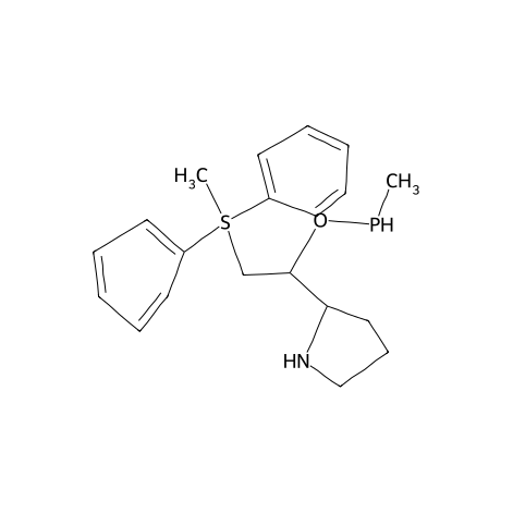 CPOC(CS(C)(c1ccccc1)c1ccccc1)C1CCCN1